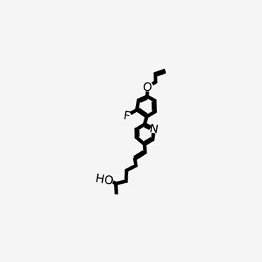 C=CCOc1ccc(-c2ccc(C=CCCCC(C)O)cn2)c(F)c1